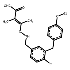 CCOc1ccc(Cc2cc(CPO/C(C)=C(\C)C(=O)C=O)ccc2Cl)cc1